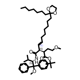 CCCCCCCC1(CCCCCC/C=C/[C@H](C(=O)N[C@@H](C(C)C)C(OC)(c2ccccc2)c2ccccc2)C(CCOC)C(=O)OC(C)(C)C)OCCO1